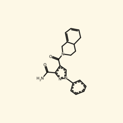 NC(=O)c1nn(-c2ccccc2)cc1C(=O)N1CCC2CC=CC=C2C1